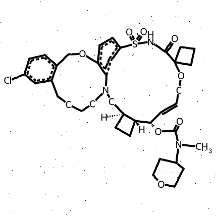 CN(C(=O)O[C@H]1/C=C/COC2(CCC2)C(=O)NS(=O)(=O)c2ccc3c(c2)N(CCCCc2cc(Cl)ccc2CO3)C[C@@H]2CC[C@H]21)C1CCOCC1